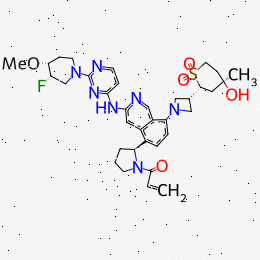 C=CC(=O)N1CCC[C@H]1c1ccc(N2CC([C@H]3C[C@](C)(O)CCS3(=O)=O)C2)c2cnc(Nc3ccnc(N4CC[C@@H](OC)[C@@H](F)C4)n3)cc12